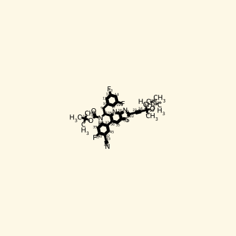 CC(C)(C)OC(=O)NC(Cc1cc(F)cc(F)c1)c1nc2nc(C#CC(C)(C)O[Si](C)(C)C)sc2cc1-c1ccc(F)c(C#N)c1